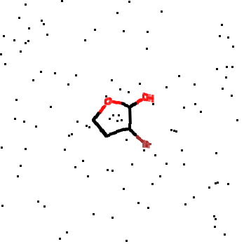 OC1OCCC1Br